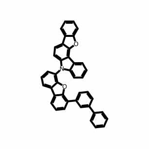 c1ccc(-c2cccc(-c3cccc4c3oc3c(-n5c6ccccc6c6c7oc8ccccc8c7ccc65)cccc34)c2)cc1